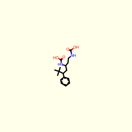 CC(C)(C)C(CC(CCNC(=O)O)NC(=O)O)c1ccccc1